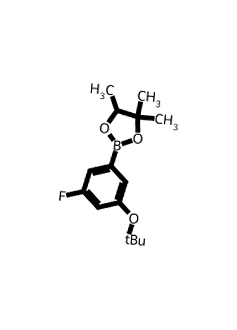 CC1OB(c2cc(F)cc(OC(C)(C)C)c2)OC1(C)C